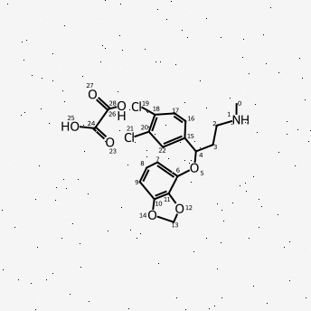 CNCCC(Oc1cccc2c1OCO2)c1ccc(Cl)c(Cl)c1.O=C(O)C(=O)O